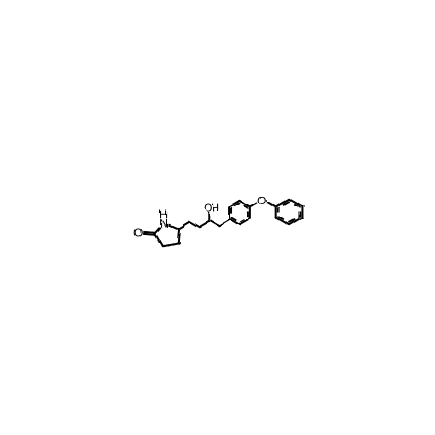 O=C1CCC(CCC(O)Cc2ccc(Oc3ccccc3)cc2)N1